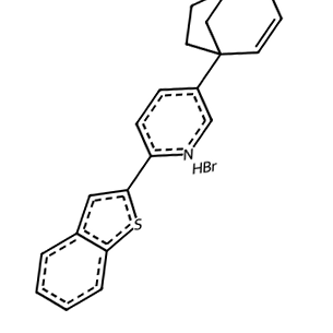 Br.C1=CC2(c3ccc(-c4cc5ccccc5s4)nc3)CCN(C1)C2